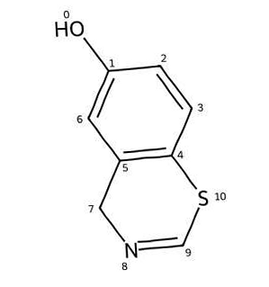 Oc1ccc2c(c1)CN=CS2